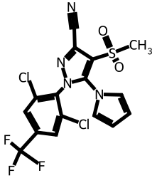 CS(=O)(=O)c1c(C#N)nn(-c2c(Cl)cc(C(F)(F)F)cc2Cl)c1-n1cccc1